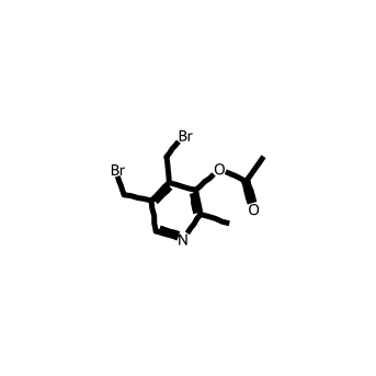 CC(=O)Oc1c(C)ncc(CBr)c1CBr